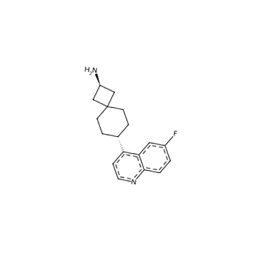 N[C@H]1CC2(CC[C@@H](c3ccnc4ccc(F)cc43)CC2)C1